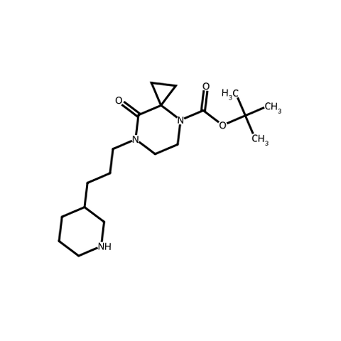 CC(C)(C)OC(=O)N1CCN(CCCC2CCCNC2)C(=O)C12CC2